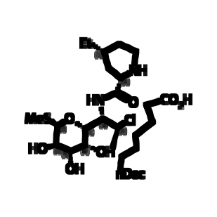 CCCCCCCCCCCCCCCC(=O)O.CC[C@@H]1CCN[C@H](C(=O)N[C@@H]([C@H]2O[C@H](SC)[C@H](O)[C@@H](O)[C@H]2O)[C@H](C)Cl)C1